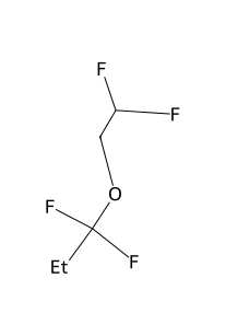 CCC(F)(F)OCC(F)F